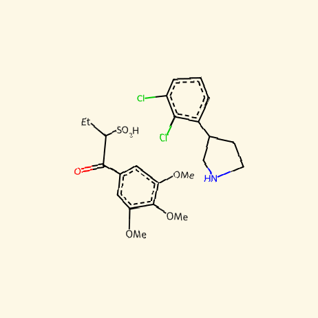 CCC(C(=O)c1cc(OC)c(OC)c(OC)c1)S(=O)(=O)O.Clc1cccc(C2CCNC2)c1Cl